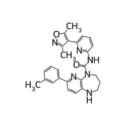 Cc1cccc(-c2ccc3c(n2)N(C(=O)Nc2cccc(-c4c(C)noc4C)n2)CCCN3)c1